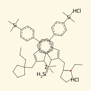 CCCC1(CC2=Cc3c(-c4ccc([Si](C)(C)C)cc4)cccc3[CH]2[Zr]([CH3])([CH3])(=[SiH2])[CH]2C(CC3(CCC)CCCC3)=Cc3c(-c4ccc([Si](C)(C)C)cc4)cccc32)CCCC1.Cl.Cl